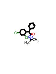 CC(C)NC(=O)C(c1ccccc1)C1CCC(Cl)CC1Cl